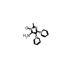 Cc1nc(N2C=CC=CC2)c(N2C=CC=CC2)c(N)[n+]1[O-]